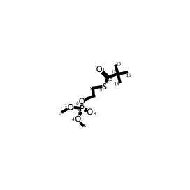 COP(=O)(OC)OCCSC(=O)C(C)(C)C